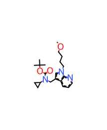 COCCCCn1cc(CN(C(=O)OC(C)(C)C)C2CC2)c2cccnc21